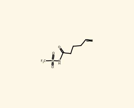 C=CCCCC(=O)NS(=O)(=O)C(F)(F)F